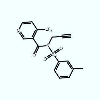 C#CCN(C(=O)c1cnccc1C(F)(F)F)S(=O)(=O)c1cccc(C)c1